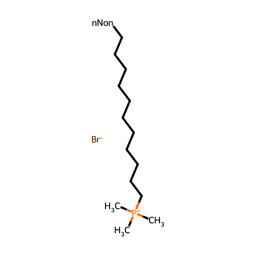 CCCCCCCCCCCCCCCCCCCC[P+](C)(C)C.[Br-]